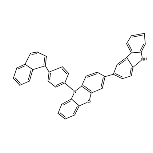 c1ccc2c(c1)Oc1cc(-c3ccc4[nH]c5ccccc5c4c3)ccc1N2c1ccc(-c2cccc3ccccc23)cc1